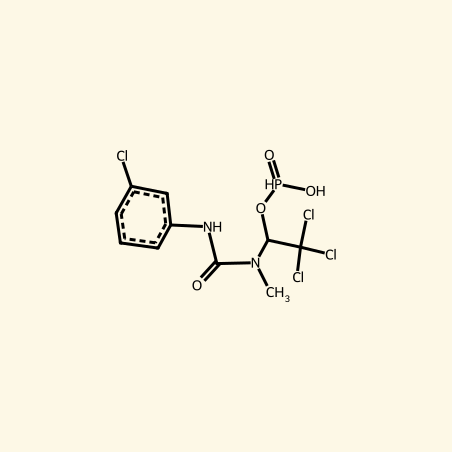 CN(C(=O)Nc1cccc(Cl)c1)C(O[PH](=O)O)C(Cl)(Cl)Cl